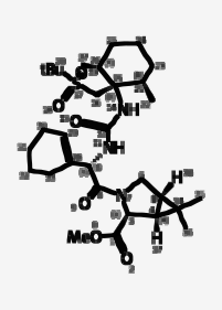 COC(=O)[C@@H]1[C@@H]2[C@H](CN1C(=O)[C@@H](NC(=O)N[C@@]1(CS(=O)(=O)C(C)(C)C)[C@H](C)CCC[C@@H]1C)C1=CCCCC1)C2(C)C